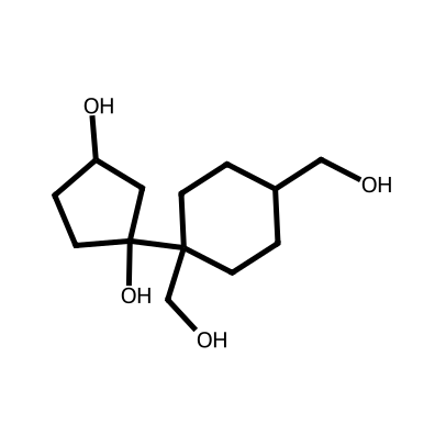 OCC1CCC(CO)(C2(O)CCC(O)C2)CC1